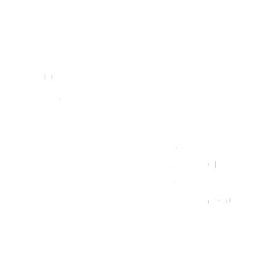 CCCCCC(C)OC(=O)CCCOCCOCC